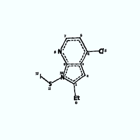 CCc1cc2c(Cl)ccnc2n1SI